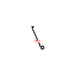 O=C(CCCCCCCCC1CC1)OCC=Cc1ccccc1